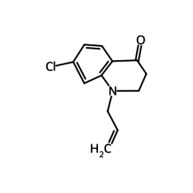 C=CCN1CCC(=O)c2ccc(Cl)cc21